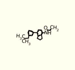 C=CC(=O)Nc1ccc(-c2cccc(CC(C)C)c2)c2c1CCC2